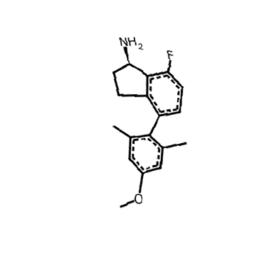 COc1cc(C)c(-c2ccc(F)c3c2CC[C@H]3N)c(C)c1